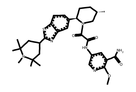 COc1ncc(NC(=O)C(=O)N2C[C@@H](C)CC[C@@H]2c2ccc3sc(C4CC(C)(C)N(C)C(C)(C)C4)nc3c2)cc1C(N)=O